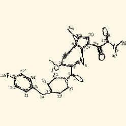 COc1cc2c(nc1C(=O)N1CCC(Cc3ccc(F)cc3)CC1)c(C(=O)C(=O)N(C)C)cn2C